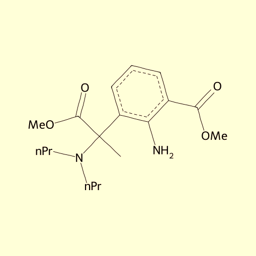 CCCN(CCC)C(C)(C(=O)OC)c1cccc(C(=O)OC)c1N